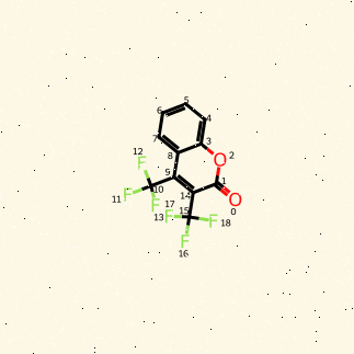 O=c1oc2ccccc2c(C(F)(F)F)c1C(F)(F)F